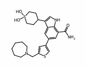 NC(=O)c1cc(-c2csc(CN3CCCCCC3)c2)cc2c(C3CCS(O)(O)CC3)c[nH]c12